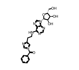 O=C(c1ccccc1)n1cnc(CCNc2ncnc3c2ncn3[C@@H]2O[C@H](CO)[C@@H](O)[C@H]2O)c1